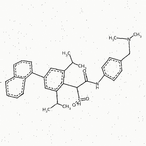 CC(C)c1cc(-c2cccc3ccccc23)cc(C(C)C)c1C(C(=O)Nc1ccc(CN(C)C)cc1)[SH](=O)=O